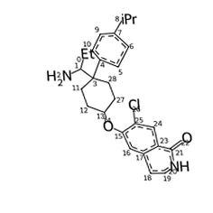 CCC(N)C1(c2ccc(C(C)C)cc2)CCC(Oc2cc3cc[nH]c(=O)c3cc2Cl)CC1